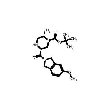 COc1ccc2c(c1)CN(C(=O)[C@@H]1CN(C(=O)OC(C)(C)C)[C@H](C)CN1)C2